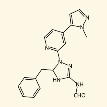 Cn1nccc1-c1ccnc(N2N=C(NC=O)NC2Cc2ccccc2)c1